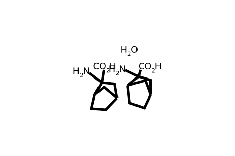 NC1(C(=O)O)CC2CCC1C2.NC1(C(=O)O)CC2CCC1C2.O